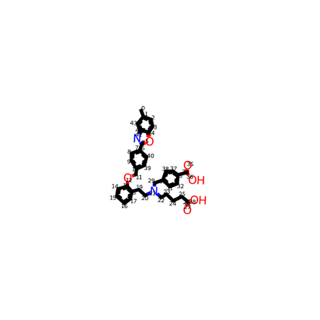 Cc1ccc2oc(-c3ccc(COc4ccccc4CCN(CCCCC(=O)O)Cc4ccc(C(=O)O)cc4)cc3)nc2c1